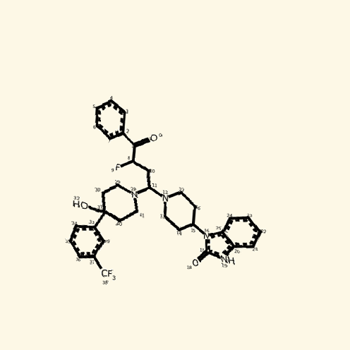 O=C(c1ccccc1)C(F)CC(N1CCC(n2c(=O)[nH]c3ccccc32)CC1)N1CCC(O)(c2cccc(C(F)(F)F)c2)CC1